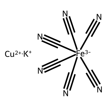 N#[C][Fe-3]([C]#N)([C]#N)([C]#N)([C]#N)[C]#N.[Cu+2].[K+]